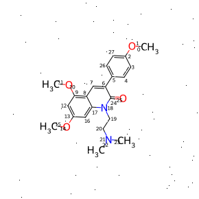 COc1ccc(-c2cc3c(OC)cc(OC)cc3n(CCN(C)C)c2=O)cc1